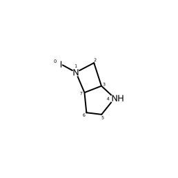 IN1CC2NCCC21